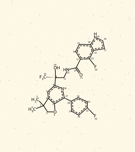 CC1(C)COc2c1cc([C@@](O)(CNC(=O)c1ccc3[nH]ccc3c1F)C(F)(F)F)nc2-c1ccc(F)cc1